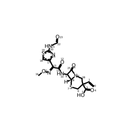 C=CC1(C(=O)O)CS[C@@H]2C(NC(=O)C(=NOC)c3csc(NC=O)n3)C(=O)N2C1